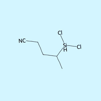 CC(CCC#N)[SiH](Cl)Cl